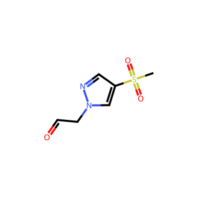 CS(=O)(=O)c1cnn(CC=O)c1